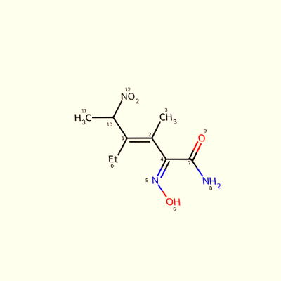 CCC(=C(C)C(=NO)C(N)=O)C(C)[N+](=O)[O-]